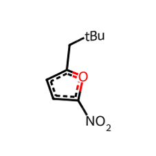 CC(C)(C)Cc1ccc([N+](=O)[O-])o1